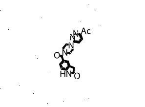 CC(=O)c1ccc(N2CCN(C(=O)c3ccc4c(c3)CC(=O)N4)CC2)nn1